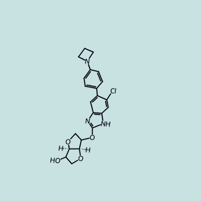 OC1CO[C@@H]2C(Oc3nc4cc(-c5ccc(N6CCC6)cc5)c(Cl)cc4[nH]3)CO[C@H]12